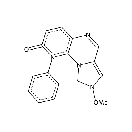 CON1C=C2C=Nc3ccc(=O)n(-c4ccccc4)c3N2C1